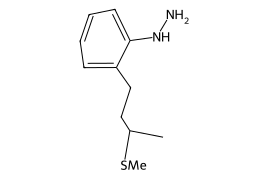 CSC(C)CCc1ccccc1NN